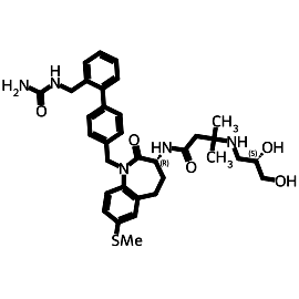 CSc1ccc2c(c1)CC[C@@H](NC(=O)CC(C)(C)NC[C@H](O)CO)C(=O)N2Cc1ccc(-c2ccccc2CNC(N)=O)cc1